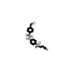 N#C/C=C/S(=O)(=O)c1ccc(NS(=O)(=O)c2ccc(CCl)cc2)cc1